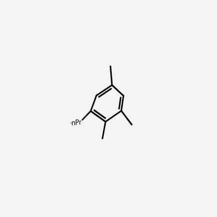 CC[CH]c1cc(C)cc(C)c1C